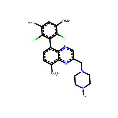 CCN1CCN(Cc2cnc3c(-c4c(Cl)c(OC)cc(OC)c4Cl)ccc(C(=O)O)c3n2)CC1